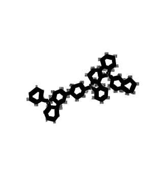 c1ccc(-n2c3ccccc3c3cc(-c4ccc(-n5c6ccccc6c6c5ccc5c7ccccc7n(-c7ccc8ccccc8c7)c56)cc4)ccc32)cc1